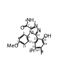 COc1ccc(-n2c(C(N)=O)nnc2-c2cc(C(C)C)c(F)cc2O)cc1